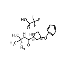 CC(C)(C)NC(=O)[C@@H]1C[C@H](Oc2ccccc2)CN1.O=C(O)C(F)(F)F